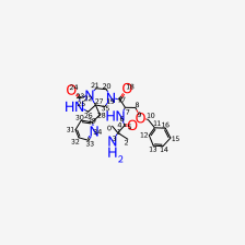 CC(C)(N)C(=O)NC(COCc1ccccc1)C(=O)N1CCN2C(=O)NCC2(Cc2ccccn2)C1